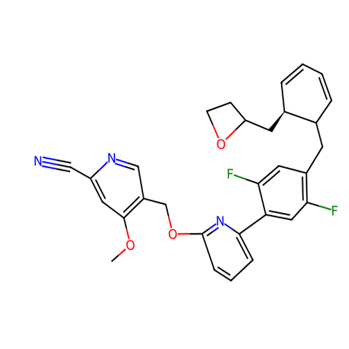 COc1cc(C#N)ncc1COc1cccc(-c2cc(F)c(CC3C=CC=C[C@@H]3CC3CCO3)cc2F)n1